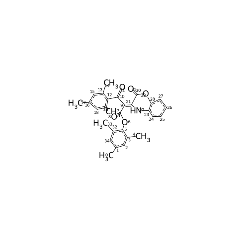 Cc1cc(C)c(OC(=O)C(C(=O)c2c(C)cc(C)cc2C)=C2Nc3ccccc3OC2=O)c(C)c1